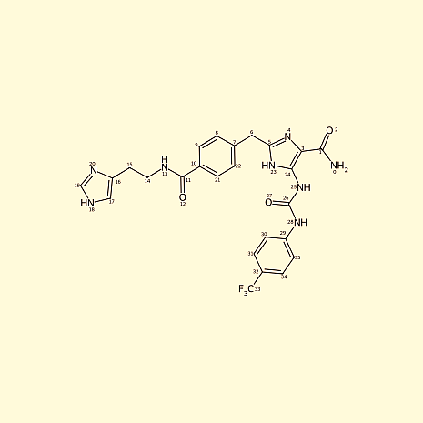 NC(=O)c1nc(Cc2ccc(C(=O)NCCc3c[nH]cn3)cc2)[nH]c1NC(=O)Nc1ccc(C(F)(F)F)cc1